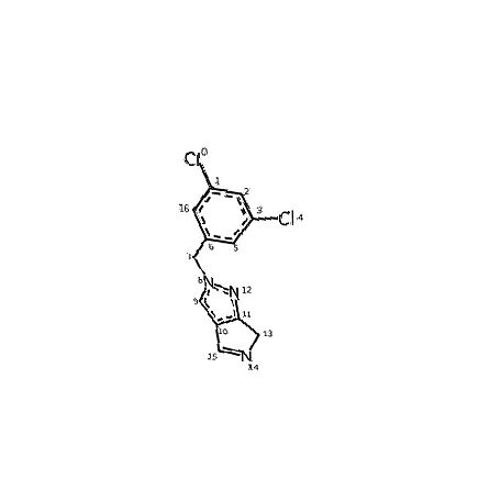 Clc1cc(Cl)cc(Cn2cc3c(n2)CN=C3)c1